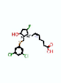 O=C(O)CCC/C=C\C[C@H]1C(F)CC(O)[C@@H]1CSc1cc(Cl)cc(Cl)c1